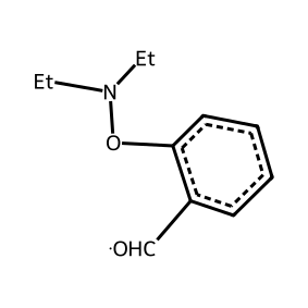 CCN(CC)Oc1ccccc1[C]=O